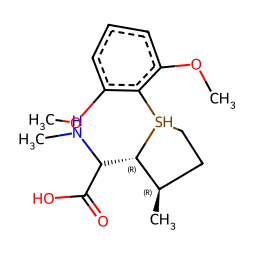 CNC(C(=O)O)[C@H]1[C@H](C)CC[SH]1c1c(OC)cccc1OC